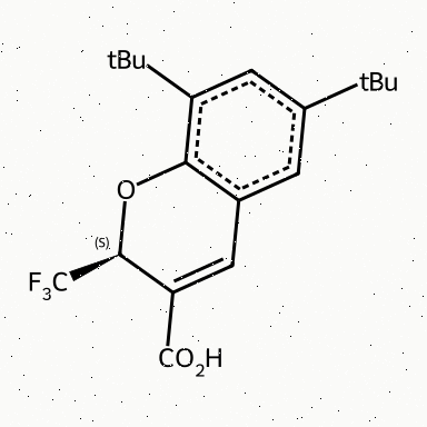 CC(C)(C)c1cc2c(c(C(C)(C)C)c1)O[C@H](C(F)(F)F)C(C(=O)O)=C2